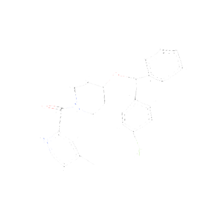 Cc1ccnc(C(=O)N2CCC(OC(c3ccccc3)c3ccc(F)cc3)CC2)c1